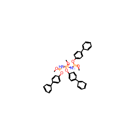 COP(N[PH](/N=[PH](/OC)Oc1ccc(-c2ccccc2)cc1)(OC)Oc1ccc(-c2ccccc2)cc1)Oc1ccc(-c2ccccc2)cc1